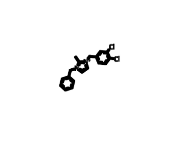 Cc1n(Cc2ccccc2)cc[n+]1Cc1ccc(Cl)c(Cl)c1